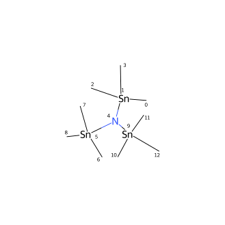 [CH3][Sn]([CH3])([CH3])[N]([Sn]([CH3])([CH3])[CH3])[Sn]([CH3])([CH3])[CH3]